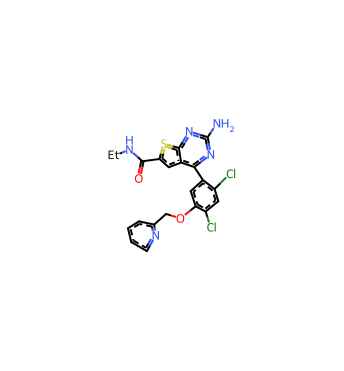 CCNC(=O)c1cc2c(-c3cc(OCc4ccccn4)c(Cl)cc3Cl)nc(N)nc2s1